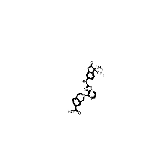 CC1(C)C(=O)Nc2cc(Nc3nc4c(N5CCc6ccc(C(=O)O)cc6C5)nccn4n3)ccc21